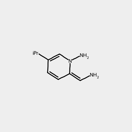 CC(C)C1=CN(N)/C(=C\N)C=C1